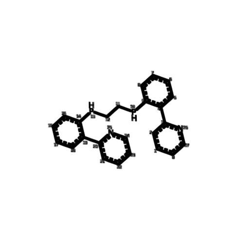 c1ccc(-c2ccccc2PCCPc2ccccc2-c2ccccn2)nc1